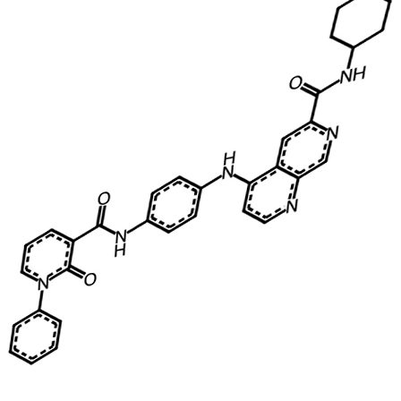 O=C(NC1CCCCC1)c1cc2c(Nc3ccc(NC(=O)c4cccn(-c5ccccc5)c4=O)cc3)ccnc2cn1